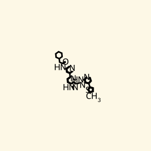 Cc1ccc(-c2ccnc3[nH]c(-c4n[nH]c5ccc(-c6cncc(NC(=O)CC7CCCCC7)c6)nc45)nc23)s1